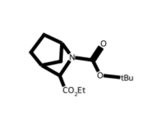 CCOC(=O)C1C2CCC(C2)N1C(=O)OC(C)(C)C